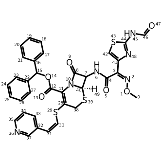 CO/N=C(\C(=O)NC1C(=O)N2C(C(=O)OC(c3ccccc3)c3ccccc3)=C(S/C=C\c3cccnc3)CS[C@H]12)c1csc(NC=O)n1